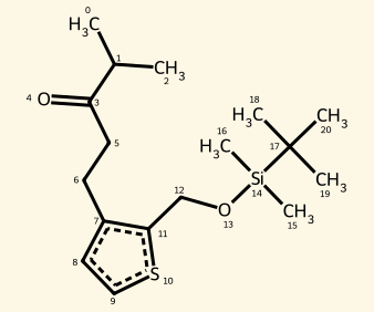 CC(C)C(=O)CCc1ccsc1CO[Si](C)(C)C(C)(C)C